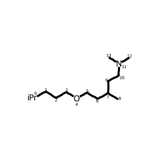 CC(C)CCCOCCC(C)CCN(C)C